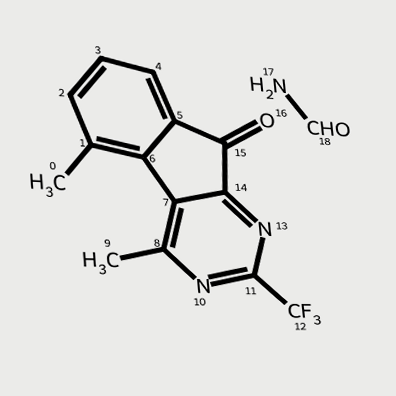 Cc1cccc2c1-c1c(C)nc(C(F)(F)F)nc1C2=O.NC=O